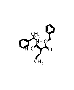 C=CCC(C(=O)OCc1ccccc1)=C(C)N[C@@H](C)c1ccccc1